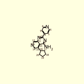 Nc1nc(-c2ccncc2)nc2cncc(C3CCCC3)c12